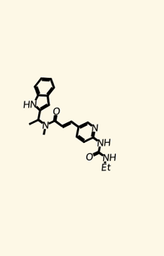 CCNC(=O)Nc1ccc(C=CC(=O)N(C)C(C)c2cc3ccccc3[nH]2)cn1